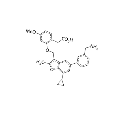 COc1ccc(CC(=O)O)c(OCc2c(C)oc3c(C4CC4)cc(-c4cccc(CN)c4)cc23)c1